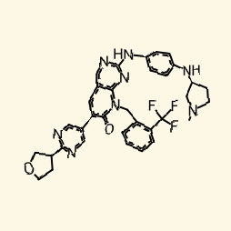 CN1CCC(Nc2ccc(Nc3ncc4cc(-c5cnc(C6CCOC6)nc5)c(=O)n(Cc5ccccc5C(F)(F)F)c4n3)cc2)C1